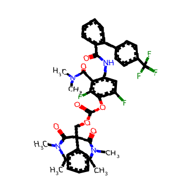 CCN(C)C(=O)C(COC(=O)Oc1c(F)cc(NC(=O)c2ccccc2-c2ccc(C(F)(F)F)cc2)c(C(=O)N(C)C)c1F)(C(=O)N(C)CC)c1ccccc1